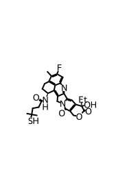 CC[C@@]1(O)C(=O)OCc2c1cc1n(c2=O)Cc2c-1nc1cc(F)c(C)c3c1c2[C@@H](NC(=O)CCC(C)(C)S)CC3